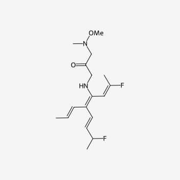 CC=C/C(C=CC(C)F)=C(/C=C(\C)F)NCC(=O)CN(C)OC